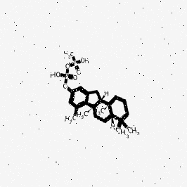 Cc1cc(OP(=O)(O)OP(C)(=O)O)cc2c1[C@]1(C)CC[C@H]3C(C)(C)CCC[C@]3(C)[C@H]1C2